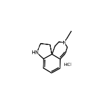 CN1CC=C2C=CC=C3NCCC23CC1.Cl